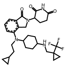 O=C1CCC(N2Cc3c(cccc3N(CCC3CC3)C3CCC(NCC4(C(F)(F)F)CC4)CC3)C2=O)C(=O)N1